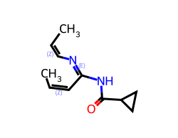 C\C=C/N=C(\C=C/C)NC(=O)C1CC1